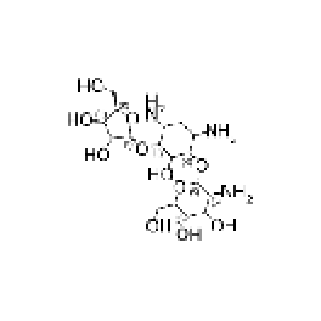 NC1CC(N)[C@@H](O[C@H]2OC(CO)[C@@H](O)C(O)[C@@H]2N)C(O)[C@@H]1O[C@@H]1O[C@H](CO)[C@H](O)C1O